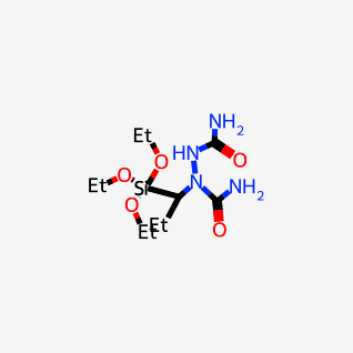 CCO[Si](OCC)(OCC)C(CC)N(NC(N)=O)C(N)=O